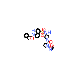 Cc1ccccc1C(=O)Nc1cccc2c(S(=O)(=O)NC3CCN(C(=O)[C@@H]4CCCN4c4ncco4)CC3)cccc12